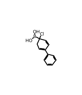 OB(O)C1(Cl)C=CC(c2ccccc2)=CC1